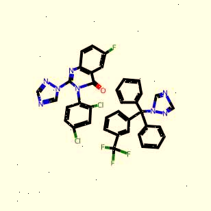 FC(F)(F)c1cccc(C(c2ccccc2)(c2ccccc2)n2cncn2)c1.O=c1c2cc(F)ccc2nc(-n2cncn2)n1-c1ccc(Cl)cc1Cl